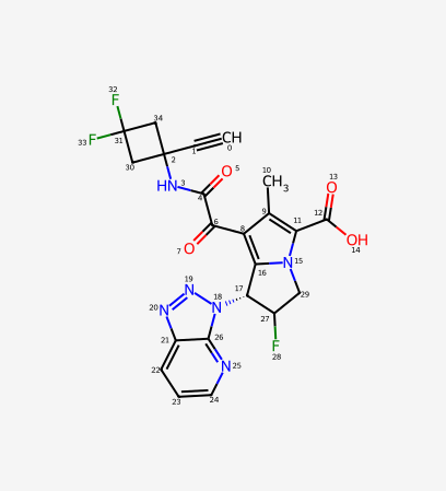 C#CC1(NC(=O)C(=O)c2c(C)c(C(=O)O)n3c2[C@@H](n2nnc4cccnc42)C(F)C3)CC(F)(F)C1